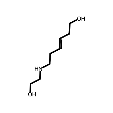 OCCC=CCCNCCO